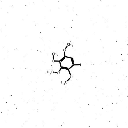 COc1cc(I)c(OC)c(OC)c1OC